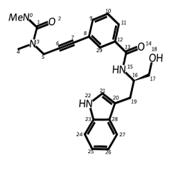 CNC(=O)N(C)CC#Cc1cccc(C(=O)N[C@@H](CO)Cc2c[nH]c3ccccc23)c1